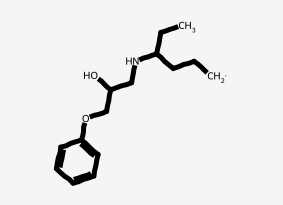 [CH2]CCC(CC)NCC(O)COc1ccccc1